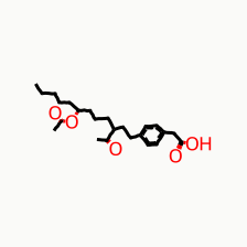 CCCCCC(CCCC(CCc1ccc(CC(=O)O)cc1)C(C)=O)OC(C)=O